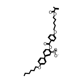 C=C(C)C(=O)OCCCCCOc1ccc(C(=O)Oc2ccc(-c3ccc(OCCCCCC)cc3)cc2[N+](=O)[O-])cc1